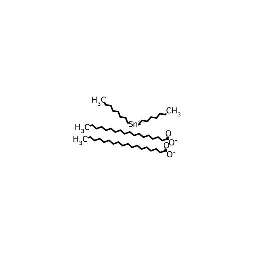 CCCCCCCCCCCCCCCCCC(=O)[O-].CCCCCCCCCCCCCCCCCC(=O)[O-].CCCCCCC[CH2][Sn+2][CH2]CCCCCCC